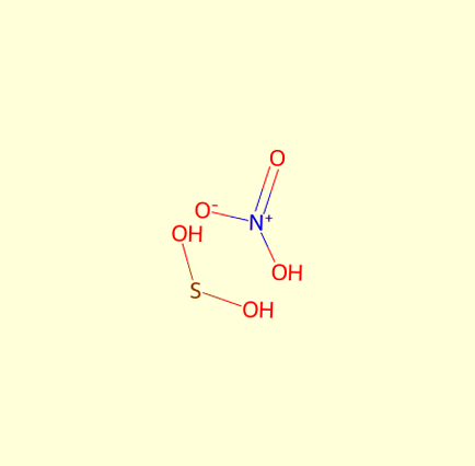 O=[N+]([O-])O.OSO